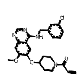 C=CC(=O)N1CCC(Oc2cc3c(NCc4cccc(Cl)c4)ncnc3cc2OC)CC1